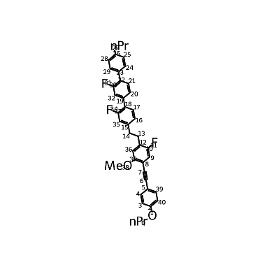 CCCOc1ccc(C#Cc2cc(F)c(CCc3ccc(-c4ccc(-c5ccc(CCC)cc5)c(F)c4)c(F)c3)cc2OC)cc1